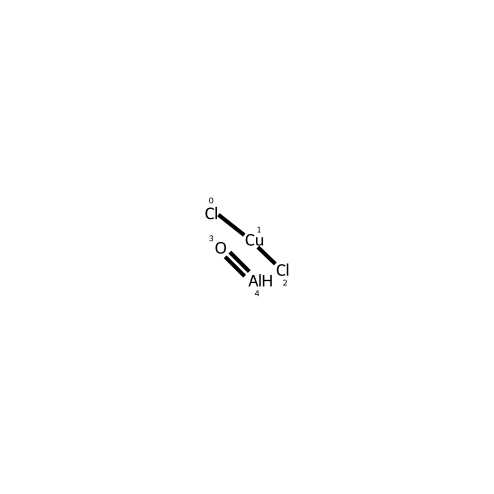 [Cl][Cu][Cl].[O]=[AlH]